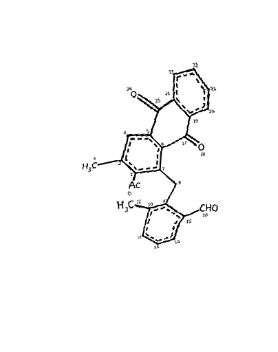 CC(=O)c1c(C)cc2c(c1Cc1c(C)cccc1C=O)C(=O)c1ccccc1C2=O